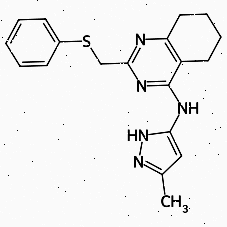 Cc1cc(Nc2nc(CSc3ccccc3)nc3c2CCCC3)[nH]n1